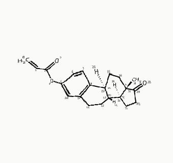 C=CC(=O)Oc1ccc2c(c1)CC[C@@H]1[C@@H]2CC[C@]2(C)C(=O)CC[C@@H]12